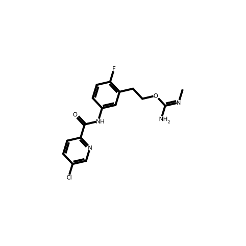 C/N=C(/N)OCCc1cc(NC(=O)c2ccc(Cl)cn2)ccc1F